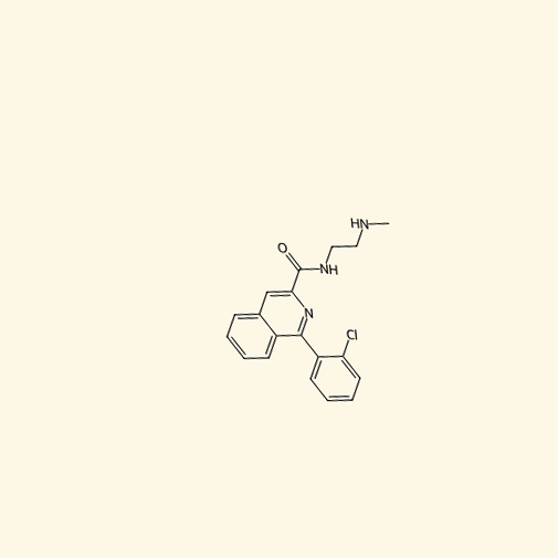 CNCCNC(=O)c1cc2ccccc2c(-c2ccccc2Cl)n1